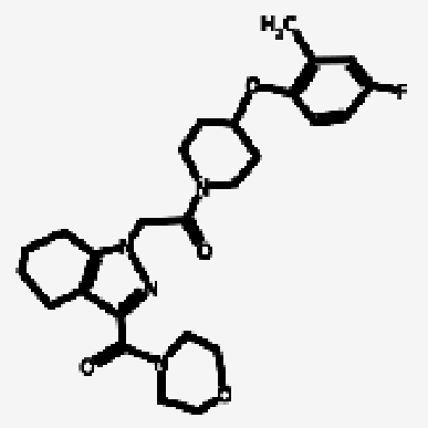 Cc1cc(F)ccc1OC1CCN(C(=O)Cn2nc(C(=O)N3CCOCC3)c3c2CCCC3)CC1